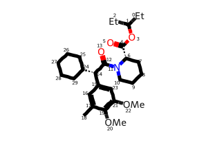 CCC(CC)OC(=O)[C@@H]1CCCCN1C(=O)[C@H](c1cc(C)c(OC)c(OC)c1)C1CCCCC1